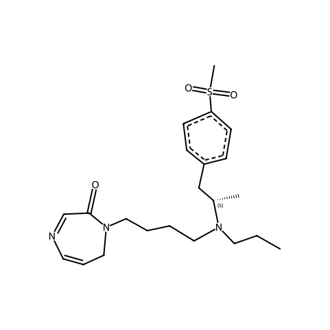 CCCN(CCCCN1CC=CN=CC1=O)[C@@H](C)Cc1ccc(S(C)(=O)=O)cc1